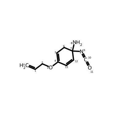 C=CCOC1=CCC(N)(N=C=O)C=C1